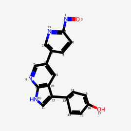 O=Nc1ccc(-c2cnc3[nH]cc(-c4ccc(O)cc4)c3c2)cn1